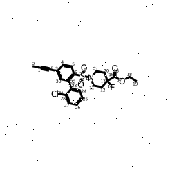 CC#Cc1ccc(S(=O)(=O)N2CCC(F)(C(=O)OCC)CC2)c(-c2ccccc2Cl)c1